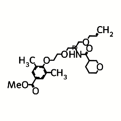 C=CCOC[C@H](COCCOc1c(C)cc(C(=O)OC)cc1C)NC(=O)C1CCCOC1